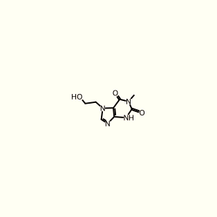 Cn1c(=O)[nH]c2ncn(CCO)c2c1=O